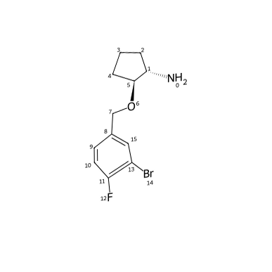 N[C@H]1CCC[C@@H]1OCc1ccc(F)c(Br)c1